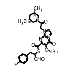 CCCCOc1c(C(=O)SC(C=O)Cc2ccc(F)cc2)nc2n(CC(=O)N3C[C@H](C)C[C@@H](C)C3)ccn2c1=O